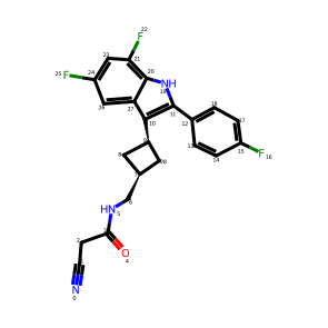 N#CCC(=O)NC[C@H]1C[C@@H](c2c(-c3ccc(F)cc3)[nH]c3c(F)cc(F)cc32)C1